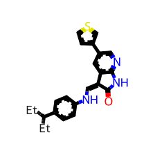 CC[C](CC)c1ccc(NC=C2C(=O)Nc3ncc(-c4ccsc4)cc32)cc1